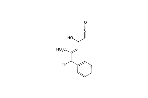 O=C=CC(O)C=C(C(=O)O)C(Cl)c1ccccc1